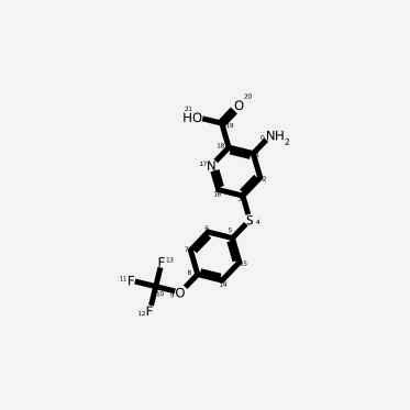 Nc1cc(Sc2ccc(OC(F)(F)F)cc2)cnc1C(=O)O